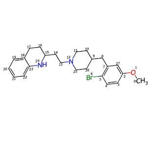 COc1ccc(Br)c(CC2CCN(CCC3CCc4ccccc4N3)CC2)c1